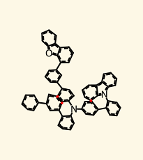 c1ccc(-c2cccc(-c3ccccc3N(c3ccc(-c4cccc(-c5cccc6c5oc5ccccc56)c4)cc3)c3ccc(-c4ccccc4-n4c5ccccc5c5ccccc54)cc3)c2)cc1